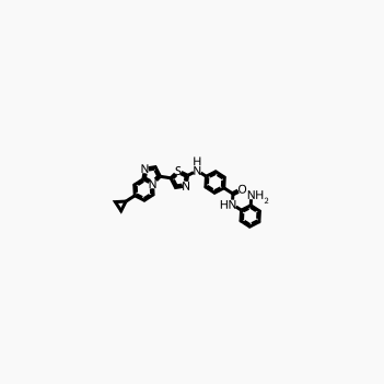 Nc1ccccc1NC(=O)c1ccc(Nc2ncc(-c3cnc4cc(C5CC5)ccn34)s2)cc1